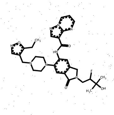 CCc1oncc1CN1CCN(c2cc3c(cc2NC(=O)c2cnn4cccnc24)CN(CC(F)C(C)(C)O)C3=O)CC1